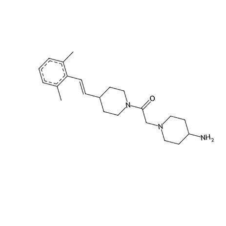 Cc1cccc(C)c1C=CC1CCN(C(=O)CN2CCC(N)CC2)CC1